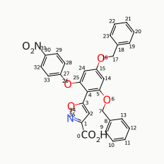 O=C(O)c1cc(-c2c(OCc3ccccc3)cc(OCc3ccccc3)cc2Oc2ccc([N+](=O)[O-])cc2)on1